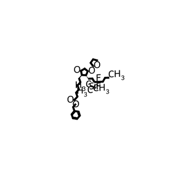 CCCCC(F)(F)C(CC[C@H]1[C@H](OC2CCCO2)CC(=O)[C@@H]1CCCCCCC(=O)OCc1ccccc1)[Si](C)(C)C